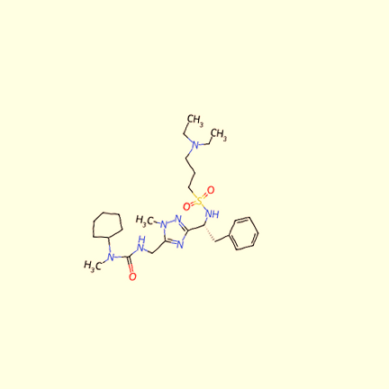 CCN(CC)CCCS(=O)(=O)N[C@H](Cc1ccccc1)c1nc(CNC(=O)N(C)C2CCCCC2)n(C)n1